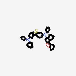 c1ccc(N(c2ccccc2)c2ccc3sc4cc(N(c5ccccc5)c5cc6oc7ccccc7c6c6ccccc56)ccc4c3c2)cc1